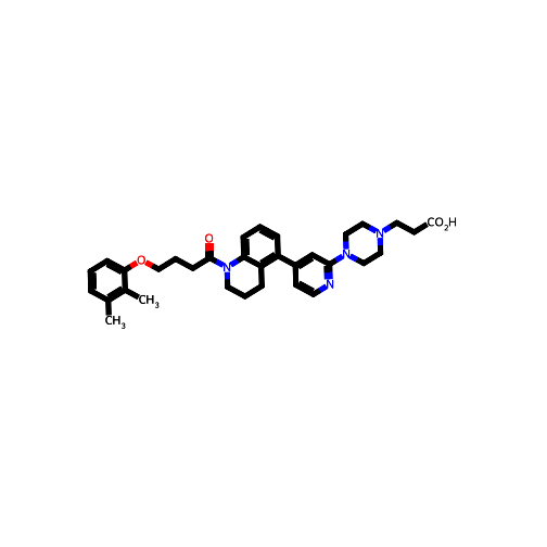 Cc1cccc(OCCCC(=O)N2CCCc3c(-c4ccnc(N5CCN(CCC(=O)O)CC5)c4)cccc32)c1C